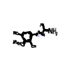 COc1c(C#N)ccc(/C=N/NC(=N)N)c1C#N